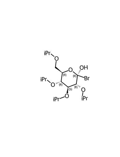 CC(C)OC[C@H]1O[C@@](O)(Br)[C@H](OC(C)C)[C@@H](OC(C)C)[C@@H]1OC(C)C